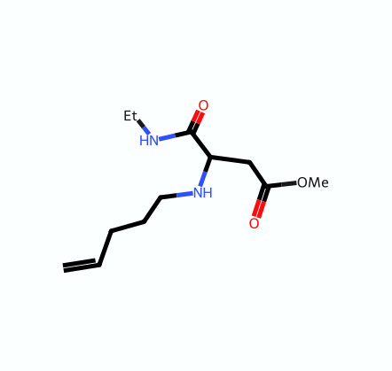 C=CCCCNC(CC(=O)OC)C(=O)NCC